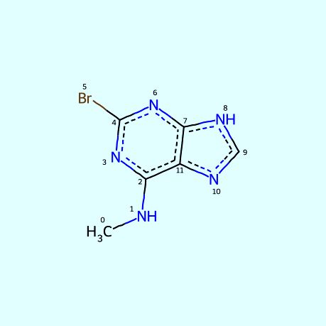 CNc1nc(Br)nc2[nH]cnc12